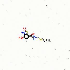 [CH2]CCSCCNC[C@H](O)c1ccc(O)c2[nH]c(=O)sc12